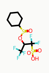 O=S(OC(C(F)(F)F)C(F)(F)S(=O)(=O)O)C1CCCCC1